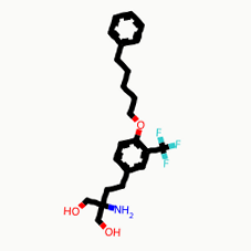 NC(CO)(CO)CCc1ccc(OCCCCCc2ccccc2)c(C(F)(F)F)c1